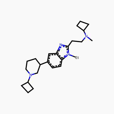 CCn1c(CCN(C)C2CCC2)nc2cc(C3CCCN(C4CCC4)C3)ccc21